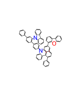 c1ccc(-c2ccc(-c3ccc(N(c4cccc(-c5cccc6c5oc5ccccc56)c4)c4ccccc4-c4ccccc4-c4ccccc4)cc3)c(-n3c4ccccc4c4ccccc43)c2)cc1